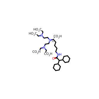 O=C(O)CN(CCN(CCN(CC(=O)O)CC(=O)O)[C@@H](CCCCNC(=O)C(C1CCCCC1)C1CCCCC1)C(=O)O)CC(=O)O